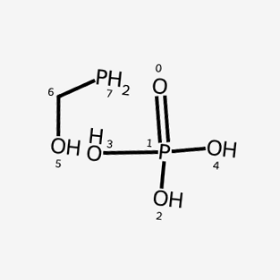 O=P(O)(O)O.OCP